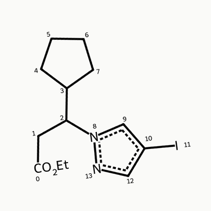 CCOC(=O)CC(C1CCCC1)n1cc(I)cn1